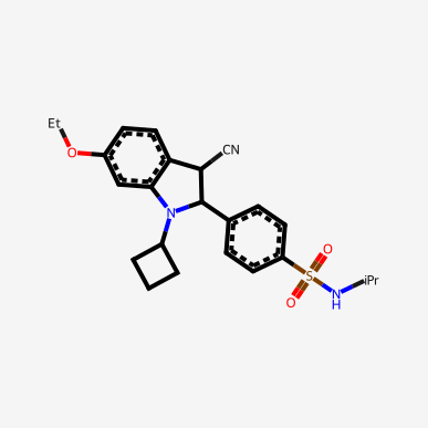 CCOc1ccc2c(c1)N(C1CCC1)C(c1ccc(S(=O)(=O)NC(C)C)cc1)C2C#N